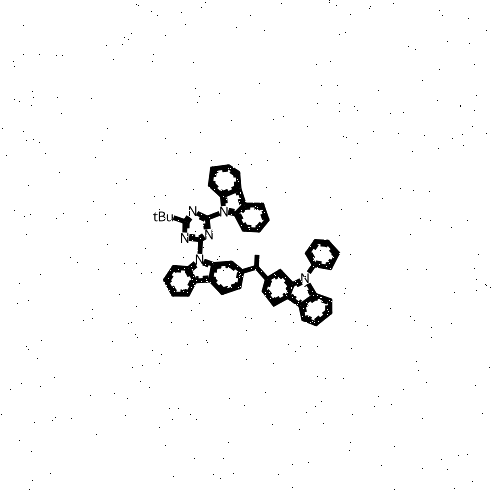 CC(c1ccc2c3ccccc3n(-c3ccccc3)c2c1)c1ccc2c3ccccc3n(-c3nc(-n4c5ccccc5c5ccccc54)nc(C(C)(C)C)n3)c2c1